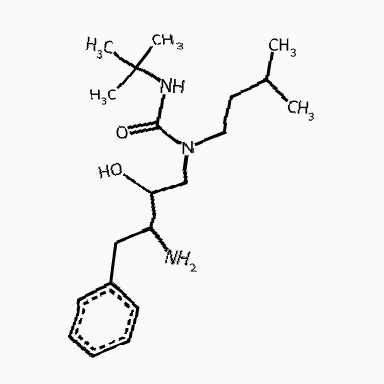 CC(C)CCN(CC(O)C(N)Cc1ccccc1)C(=O)NC(C)(C)C